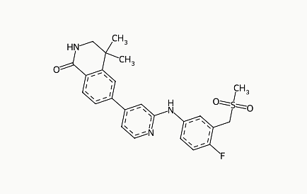 CC1(C)CNC(=O)c2ccc(-c3ccnc(Nc4ccc(F)c(CS(C)(=O)=O)c4)c3)cc21